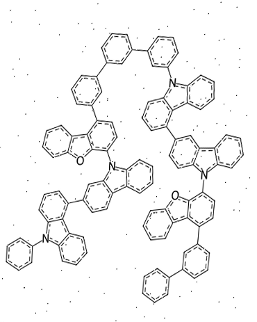 c1ccc(-c2cccc(-c3ccc(-n4c5ccccc5c5cc(-c6cccc7c6c6ccccc6n7-c6cccc(-c7cccc(-c8cccc(-c9ccc(-n%10c%11ccccc%11c%11ccc(-c%12cccc%13c%12c%12ccccc%12n%13-c%12ccccc%12)cc%11%10)c%10oc%11ccccc%11c9%10)c8)c7)c6)ccc54)c4oc5ccccc5c34)c2)cc1